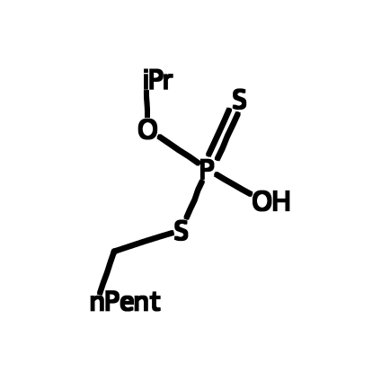 CCCCCCSP(O)(=S)OC(C)C